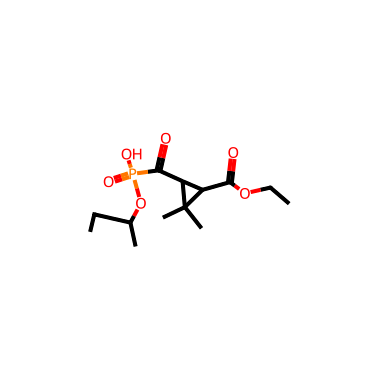 CCOC(=O)C1C(C(=O)P(=O)(O)OC(C)CC)C1(C)C